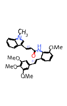 COc1cccc(/C=C/c2cc(OC)c(OC)c(OC)c2)c1NC(=O)/C=C/c1cn(C)c2ccccc12